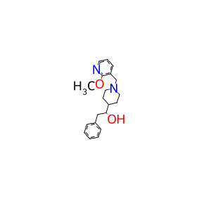 COc1ncccc1CN1CCC(C(O)Cc2ccccc2)CC1